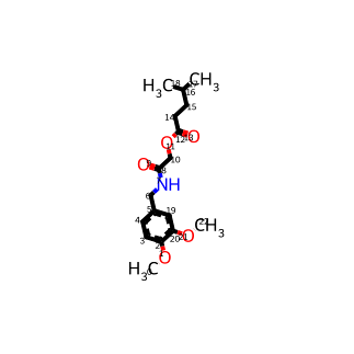 COc1ccc(CNC(=O)COC(=O)CCC(C)C)cc1OC